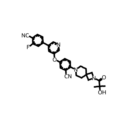 CC(C)(O)C(=O)N1CC2(CCN(c3ccc(Oc4cncc(-c5ccc(C#N)c(F)c5)c4)cc3C#N)CC2)C1